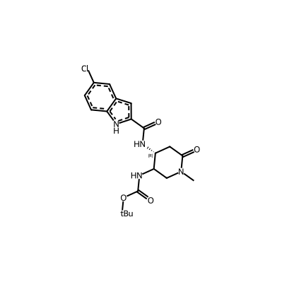 CN1CC(NC(=O)OC(C)(C)C)[C@H](NC(=O)c2cc3cc(Cl)ccc3[nH]2)CC1=O